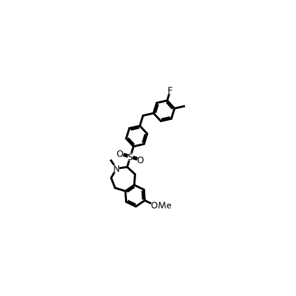 COc1ccc2c(c1)CC(S(=O)(=O)c1ccc(Cc3ccc(C)c(F)c3)cc1)N(C)CC2